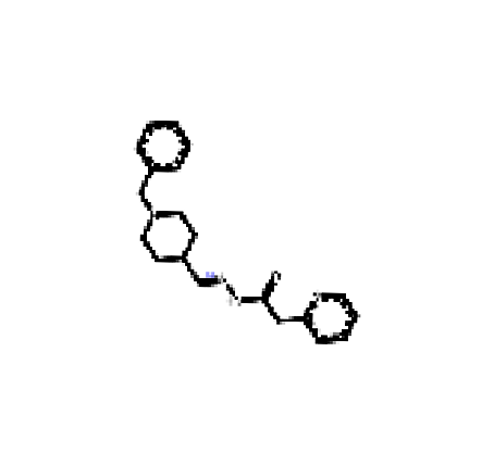 O=C(Cc1ccccn1)N/N=C/C1CCN(Cc2ccccc2)CC1